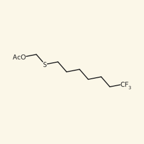 CC(=O)OCSCCCCCCC(F)(F)F